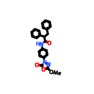 COc1nn(-c2ccc(NC(=O)C(Cc3ccccc3)c3ccccc3)cc2)c(=O)o1